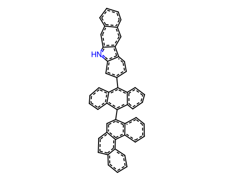 c1ccc2cc3c(cc2c1)[nH]c1cc(-c2c4ccccc4c(-c4cc5ccc6ccccc6c5c5ccccc45)c4ccccc24)ccc13